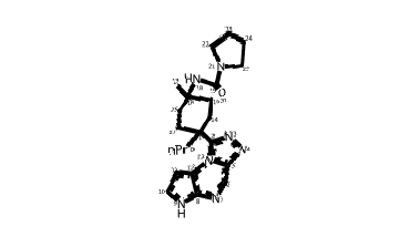 CCCC1(c2nnc3cnc4[nH]ccc4n23)CCC(C)(NC(=O)N2CCCC2)CC1